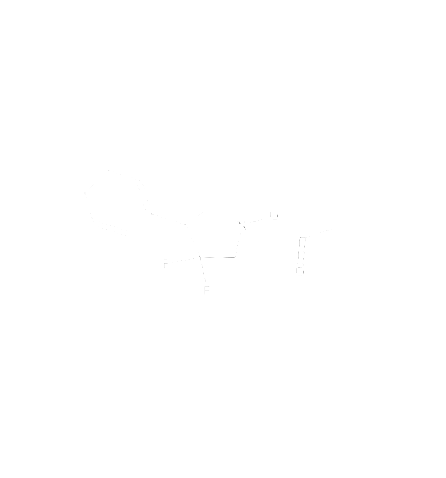 CC(=O)ON1CC(c2ccccc2)C(F)(F)C1